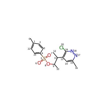 Cc1ccc(S(=O)(=O)OC(C)C(C)c2cc(C)nnc2Cl)cc1